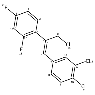 Fc1ccc(C(=Cc2ccc(Cl)c(Cl)c2)CCl)c(F)c1